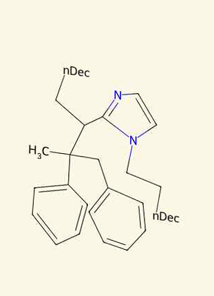 CCCCCCCCCCCCn1ccnc1C(CCCCCCCCCCC)C(C)(Cc1ccccc1)c1ccccc1